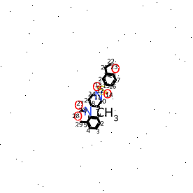 Cc1cccc2c1N(C1CCN(S(=O)(=O)c3ccc4c(c3)CCO4)CC1)C(=O)OC2